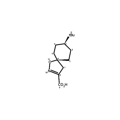 CC(C)(C)[C@H]1CC[C@@]2(CC1)CC(C(=O)O)=NO2